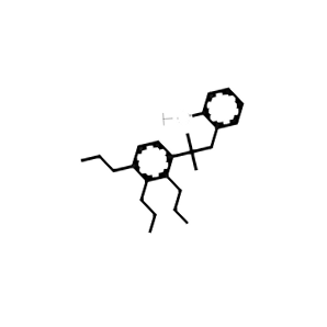 CCCc1ccc(C(C)(C)Cc2ccccc2O)c(CCC)c1CCC